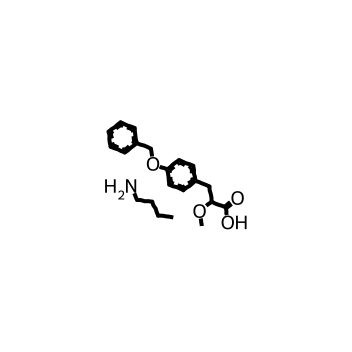 CCCCN.COC(Cc1ccc(OCc2ccccc2)cc1)C(=O)O